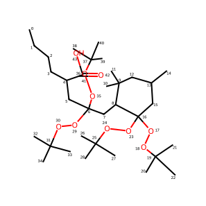 CCCCC(CC(CC1C(C)(C)CC(C)CC1(OOC(C)(C)C)OOC(C)(C)C)(OOC(C)(C)C)OOC(C)(C)C)C(=O)O